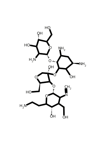 C=NC1C(CO)[C@H](O)C(CCN)O[C@@H]1OC1[C@@H](CO)OC[C@@]1(O)OC1C(O)[C@H](N)CC(N)[C@H]1O[C@H]1OC(CO)[C@@H](O)C(O)C1N